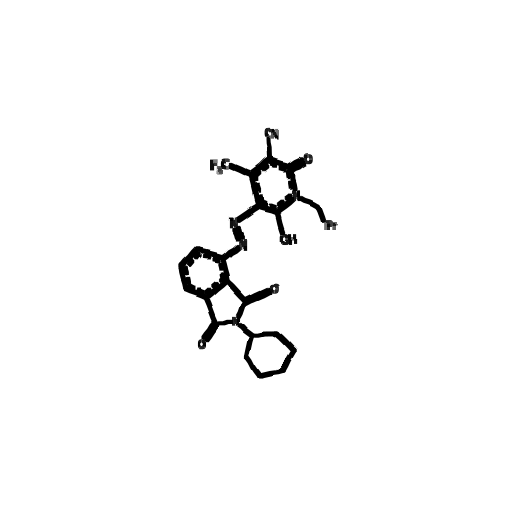 CC(C)Cn1c(O)c(N=Nc2cccc3c2C(=O)N(C2CCCCC2)C3=O)c(C(F)(F)F)c(C#N)c1=O